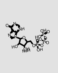 O=c1nc[nH]c2c1ncn2C1OC(COP(=O)(O)OP(=O)(O)OP(=O)(O)O)C(O)C1O.[NaH]